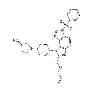 C=CCO[C@H](C)c1nc2cnc3c(ccn3S(=O)(=O)c3ccccc3)c2n1C1CCC(N2CC[C@@H](C#N)C2)CC1